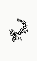 CCC(C)N1CCN(C(=O)c2ccc(NC(=O)Nc3ccc(-c4nc(N5CCOC[C@@H]5C)nc(N5CCOC[C@@H]5C)n4)cc3)cc2)CC1